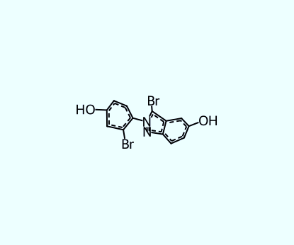 Oc1ccc(-n2nc3ccc(O)cc3c2Br)c(Br)c1